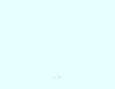 CCCCCCCCc1cc[c]nc1